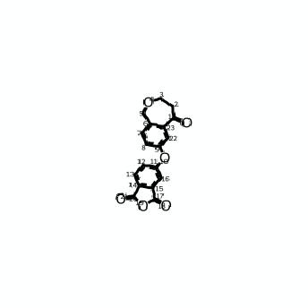 O=C1CCOCc2ccc(Oc3ccc4c(c3)C(=O)OC4=O)cc21